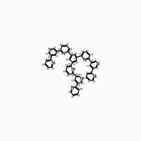 c1ccc(-c2cncc(-c3cccc(-c4cc(-c5cccc(-c6cncc(-c7ccccn7)c6)n5)cc(-c5cccc(-c6cncc(-c7ccccn7)c6)n5)c4)n3)c2)nc1